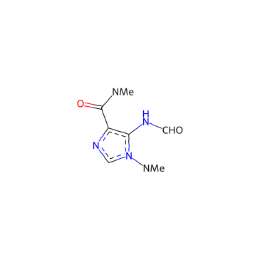 CNC(=O)c1ncn(NC)c1NC=O